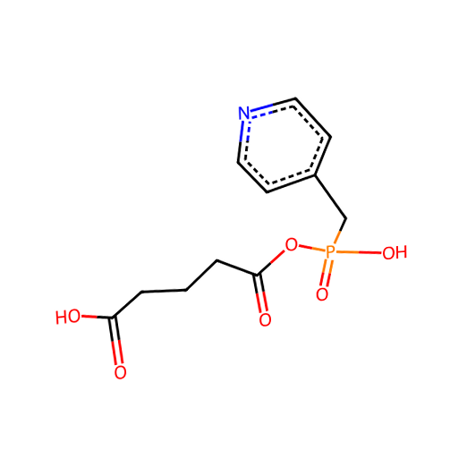 O=C(O)CCCC(=O)OP(=O)(O)Cc1ccncc1